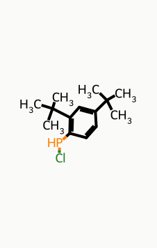 CC(C)(C)c1ccc(PCl)c(C(C)(C)C)c1